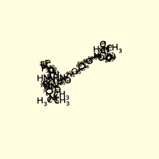 CC(C)N(C)[C@@H]1CC[C@H](N2CC[C@@H](Nc3ncnc4ccc(C(F)(F)F)cc34)C2=O)[C@H](NC(=O)C2CC(NC(=O)CCOCC3CCC(COCCNC(=O)[C@H]4CC(=O)N(C)[C@@H]4c4cccnc4)CC3)C2)C1